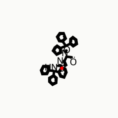 O=[C]C(=NOC(c1ccccc1)(c1ccccc1)c1ccccc1)c1csc(NC(c2ccccc2)(c2ccccc2)c2ccccc2)n1